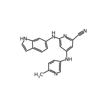 Cc1ccc(Nc2cc(C#N)nc(Nc3ccc4cc[nH]c4c3)c2)cn1